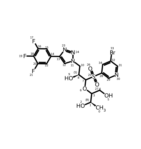 C[C@@H](O)C(CO)OC([C@@H](O)Cn1cc(-c2cc(F)c(F)c(F)c2)nn1)S(=O)(=O)c1cncc(Br)c1